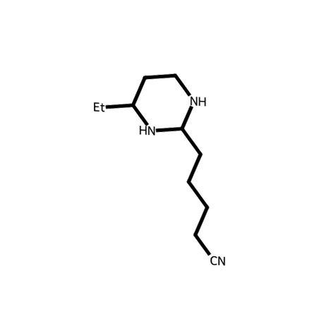 CCC1CCNC(CCCCC#N)N1